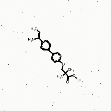 CC=C(N)c1ccc(-c2ccc(OCC(C)(C)C(=O)OC)nc2)cc1